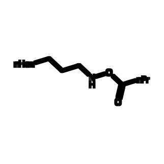 CCCCCCCCCNOC(=O)CCC